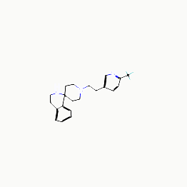 FC(F)(F)c1ccc(CCN2CCC3(CC2)NCCc2ccccc23)cn1